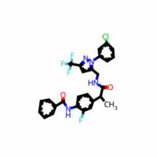 CC(C(=O)NCc1cc(C(F)(F)F)nn1-c1cccc(Cl)c1)c1ccc(NC(=O)c2ccccc2)c(F)c1